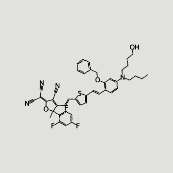 CCCCN(CCCCO)c1ccc(/C=C/c2ccc(/C=C/C3=C(C#N)C(=C(C#N)C#N)OC3(C)c3c(F)cc(F)cc3F)s2)c(OCc2ccccc2)c1